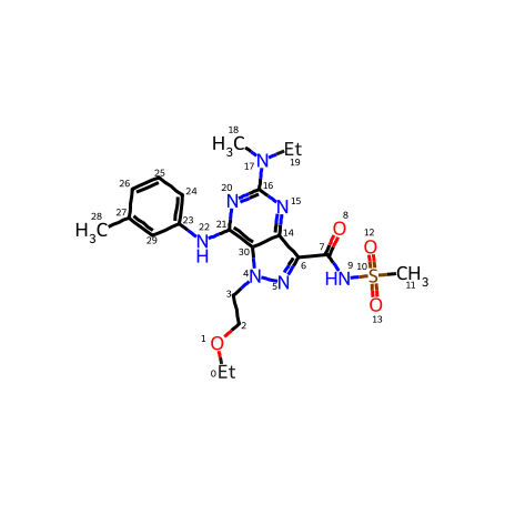 CCOCCn1nc(C(=O)NS(C)(=O)=O)c2nc(N(C)CC)nc(Nc3cccc(C)c3)c21